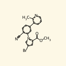 COC(=O)c1cc(Br)cn1-c1cc(-c2cccnc2C)ccc1C#N